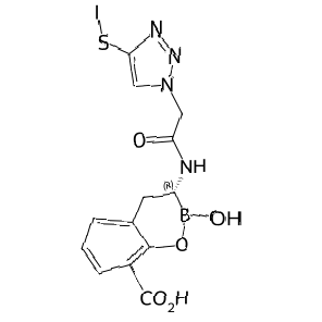 O=C(Cn1cc(SI)nn1)N[C@H]1Cc2cccc(C(=O)O)c2OB1O